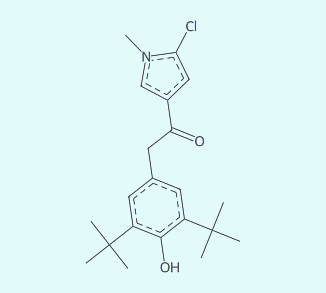 Cn1cc(C(=O)Cc2cc(C(C)(C)C)c(O)c(C(C)(C)C)c2)cc1Cl